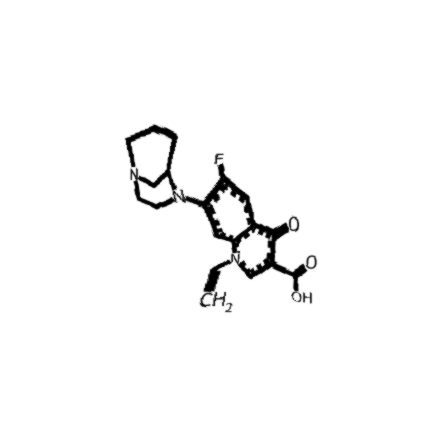 C=Cn1cc(C(=O)O)c(=O)c2cc(F)c(N3CCN4CCCC3C4)cc21